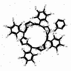 Fc1c(F)c(F)c(/C2=C3\C=CC(=N3)/C(c3c(F)c(F)c(F)c(F)c3F)=c3/cc/c([nH]3)=C(\c3c(F)c(F)c(F)c(F)c3F)C3C[C@H](Cc4ccccc4)/C(=C(\c4c(F)c(F)c(F)c(F)c4F)c4ccc2[nH]4)N3)c(F)c1F